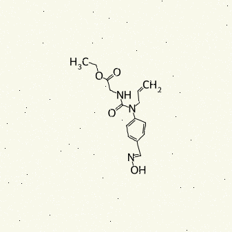 C=CCN(C(=O)NCC(=O)OCC)c1ccc(C=NO)cc1